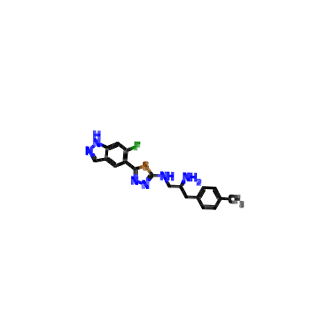 N[C@H](CNc1nnc(-c2cc3cn[nH]c3cc2F)s1)Cc1ccc(C(F)(F)F)cc1